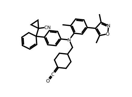 Cc1ccc(-c2c(C)noc2C)cc1N(CC1CCC(=C=O)CC1)c1ccc(C2(C3(C#N)CC3)C=CC=CC2)cc1